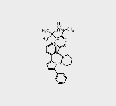 CN(C)C(=O)[C@H](NC(=S)N[C@H]1CCCC[C@@H]1n1c(-c2ccccc2)ccc1-c1ccccc1)C(C)(C)C